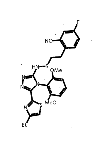 CCc1csc(-c2nnc(NSCCc3ccc(F)cc3C#N)n2-c2c(OC)cccc2OC)n1